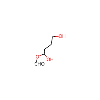 O=COC(O)CCCO